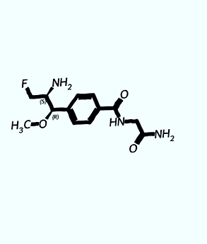 CO[C@H](c1ccc(C(=O)NCC(N)=O)cc1)[C@H](N)CF